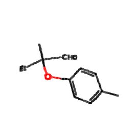 CCC(C)(C=O)Oc1ccc(C)cc1